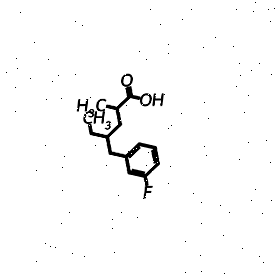 CCC(Cc1cccc(F)c1)CC(C)C(=O)O